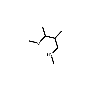 CNCC(C)C(C)OC